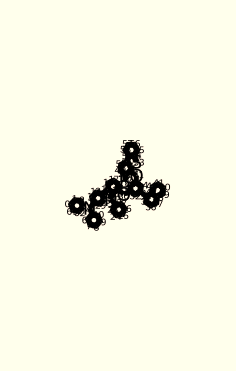 c1ccc(N(c2ccccc2)c2ccc3c4ccc5c(c4n(-c4ccccc4)c3c2)Oc2cc(-c3cccc4ccccc34)cc3c2B5c2ccc4c(sc5ccccc54)c2O3)cc1